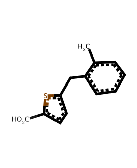 Cc1ccccc1Cc1ccc(C(=O)O)s1